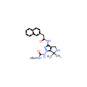 CCCCNC(=O)Nn1nc(NC(=O)Cc2ccc3ccccc3c2)c2c1C(C)(C)NC2